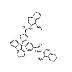 Nc1c(NC(=O)c2ccc(C3(c4ccc(C(=O)Nc5ccc6ccccc6c5N)cc4)c4ccccc4-c4ccccc43)cc2)ccc2ccccc12